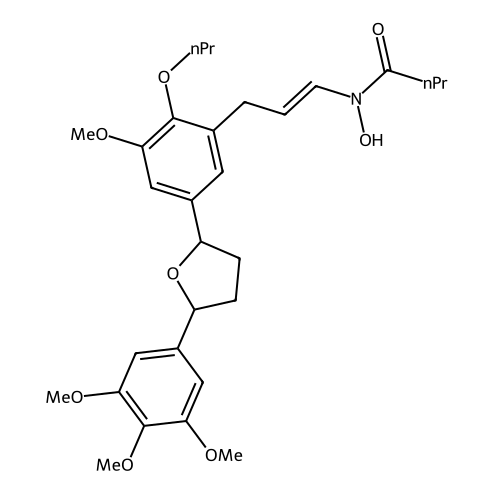 CCCOc1c(CC=CN(O)C(=O)CCC)cc(C2CCC(c3cc(OC)c(OC)c(OC)c3)O2)cc1OC